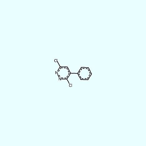 Clc1cc(-c2ccccc2)c(Cl)nn1